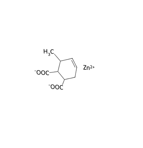 CC1C=CCC(C(=O)[O-])C1C(=O)[O-].[Zn+2]